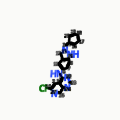 Clc1cc2c(Nc3ccc4c(c3)CN(Cc3ccccc3)N4)ncnc2cn1